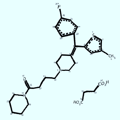 Cc1csc(C(=C2CCN(CCCC(=O)N3CCCCC3)CC2)c2ccc(F)cc2)c1.O=C(O)CCC(=O)O